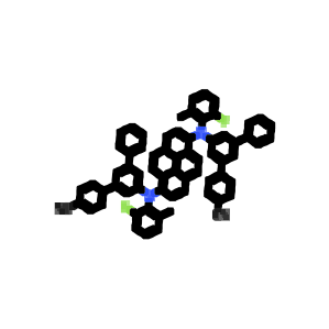 Cc1cccc(F)c1N(c1cc(-c2ccccc2)cc(-c2ccc(C#N)cc2)c1)c1ccc2ccc3c(N(c4cc(-c5ccccc5)cc(-c5ccc(C#N)cc5)c4)c4c(C)cccc4F)ccc4ccc1c2c43